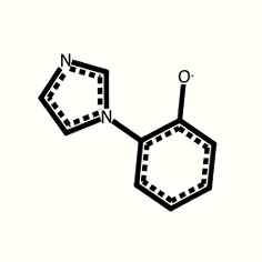 [O]c1ccccc1-n1ccnc1